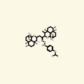 CC1C(/C(CC2O[C@@H]3O[C@]4(C)CC[C@H]5[C@H](C)CC[C@@H]([C@H]2C)[C@@]35O4)=N\ONc2ccc(OC(F)F)cc2)O[C@@H]2O[C@]3(C)CC[C@H]4[C@H](C)CC[C@@H]1[C@@]24O3